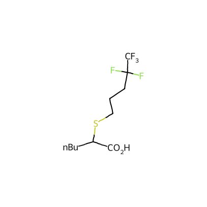 CCCCC(SCCCC(F)(F)C(F)(F)F)C(=O)O